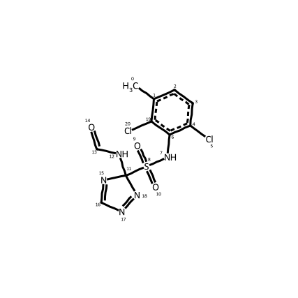 Cc1ccc(Cl)c(NS(=O)(=O)C2(NC=O)N=CN=N2)c1Cl